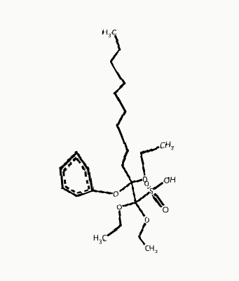 CCCCCCCCCC(OCC)(Oc1ccccc1)C(OCC)(OCC)S(=O)(=O)O